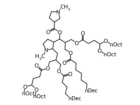 CCCCCCCCCCCCCCCC(=O)OCC(COC(=O)CCC(OCCCCCCCC)OCCCCCCCC)C(OC(=O)C1CCN(C)C1)C1CCN(C)C1CC(COC(=O)CCCCCCCCCCCCC)COC(=O)CCC(OCCCCCCCC)OCCCCCCCC